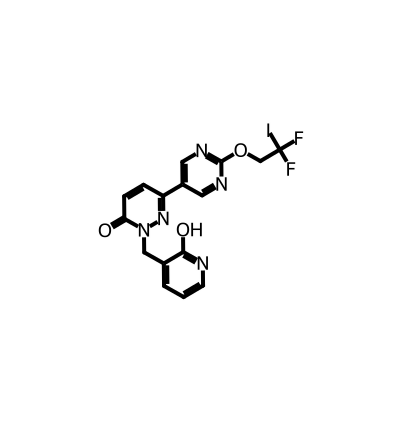 O=c1ccc(-c2cnc(OCC(F)(F)I)nc2)nn1Cc1cccnc1O